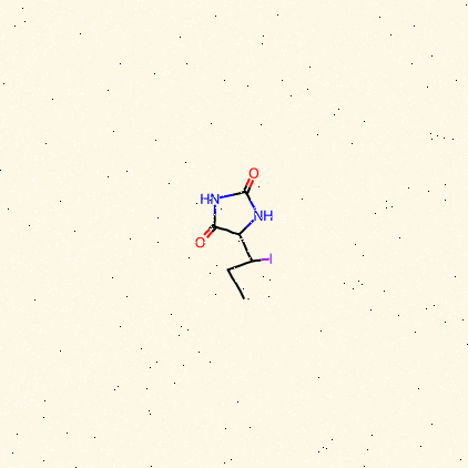 [CH2]CC(I)C1NC(=O)NC1=O